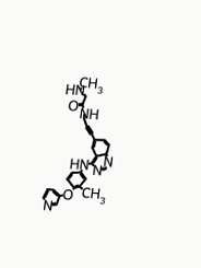 CNCC(=O)NCC#Cc1ccc2ncnc(Nc3ccc(Oc4cccnc4)c(C)c3)c2c1